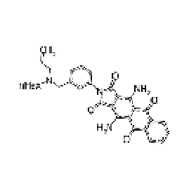 C=CCN(CCCCCC)Cc1cccc(-n2c(=O)c3c(N)c4c(=O)c5ccccc5c(=O)c4c(N)c3c2=O)c1